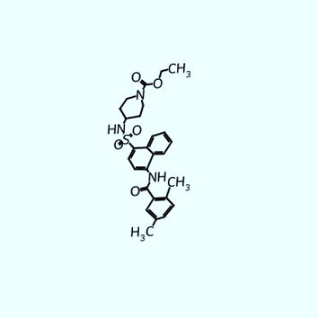 CCOC(=O)N1CCC(NS(=O)(=O)c2ccc(NC(=O)c3cc(C)ccc3C)c3ccccc23)CC1